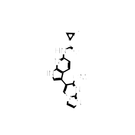 COc1nc2nccn2cc1-c1c[nH]c2nc(NC(=O)[C@@H]3C[C@@H]3F)ccc12